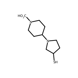 O=C(O)N1CCC(N2CCC(S)C2)CC1